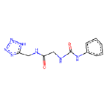 O=C(CNC(=O)Nc1ccccc1)NCc1nnn[nH]1